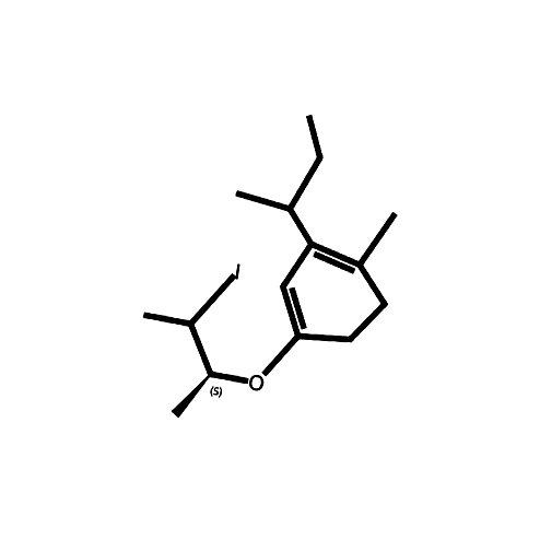 CCC(C)C1=C(C)CCC(O[C@@H](C)C(C)I)=C1